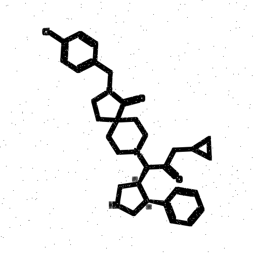 O=C(CC1CC1)C([C@@H]1CNC[C@@H]1c1ccccc1)N1CCC2(CCN(Cc3ccc(Cl)cc3)C2=O)CC1